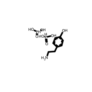 NCCc1ccc(O)cc1.O=[PH](O)O.O=[PH](O)O